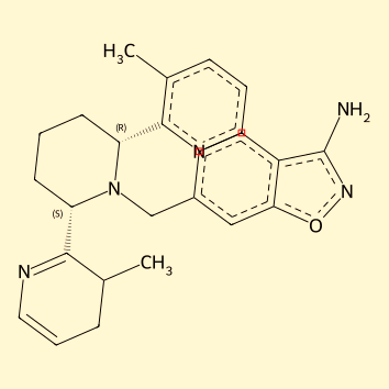 Cc1cccnc1[C@H]1CCC[C@@H](C2=NC=CCC2C)N1Cc1ccc2c(N)noc2c1